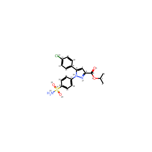 CC(C)OC(=O)c1cc(-c2ccc(Cl)cc2)n(-c2ccc(S(N)(=O)=O)cc2)n1